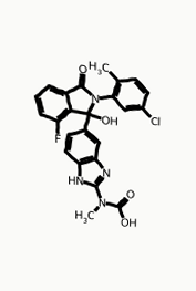 Cc1ccc(Cl)cc1N1C(=O)c2cccc(F)c2C1(O)c1ccc2[nH]c(N(C)C(=O)O)nc2c1